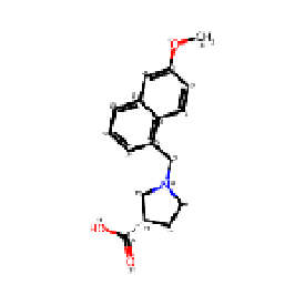 COc1ccc2c(CN3CC[C@H](C(=O)O)C3)cccc2c1